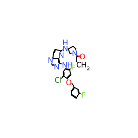 C=CC(=O)N1CCC(Nc2ccc3ncnc(Nc4cc(Cl)c(OCc5cccc(F)c5)cc4F)c3n2)C1